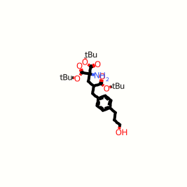 CC(C)(C)OC(=O)C(Cc1ccc(CCCO)cc1)CC(N)(C(=O)OC(C)(C)C)C(=O)OC(C)(C)C